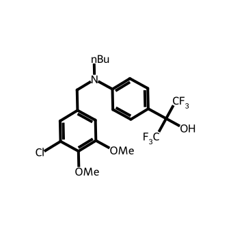 CCCCN(Cc1cc(Cl)c(OC)c(OC)c1)c1ccc(C(O)(C(F)(F)F)C(F)(F)F)cc1